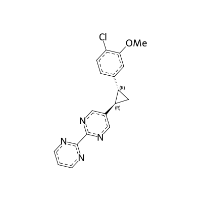 COc1cc([C@@H]2C[C@H]2c2cnc(-c3ncccn3)nc2)ccc1Cl